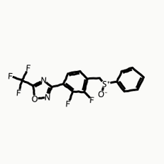 [O-][S+](Cc1ccc(-c2noc(C(F)(F)F)n2)c(F)c1F)c1ccccc1